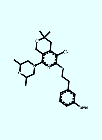 CSc1cccc(CCSc2nc(N3CC(C)OC(C)C3)c3c(c2C#N)CC(C)(C)OC3)c1